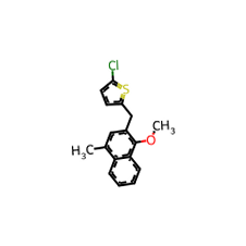 COc1c(Cc2ccc(Cl)s2)cc(C)c2ccccc12